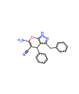 N#CC1=C(N)Oc2[nH]nc(Cc3ccccc3)c2C1c1ccccc1